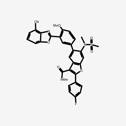 CNC(=O)c1c(-c2ccc(F)cc2)oc2cc(N(C)S(C)(=O)=O)c(-c3ccc(OC)c(-c4nc5c(C#N)cccc5o4)c3)cc12